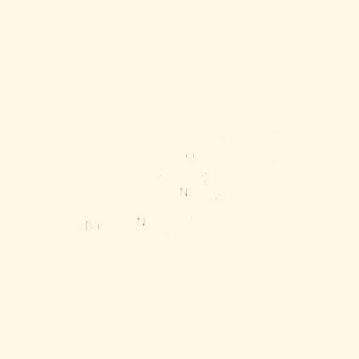 CC(C)(C)CN1CCN(S(=O)(=O)c2ccccc2)CC1